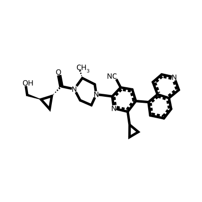 C[C@@H]1CN(c2nc(C3CC3)c(-c3cccc4cnccc34)cc2C#N)CCN1C(=O)[C@@H]1C[C@H]1CO